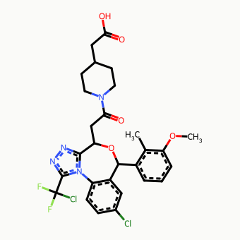 COc1cccc(C2OC(CC(=O)N3CCC(CC(=O)O)CC3)c3nnc(C(F)(F)Cl)n3-c3ccc(Cl)cc32)c1C